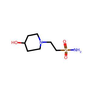 NS(=O)(=O)CCN1CCC(O)CC1